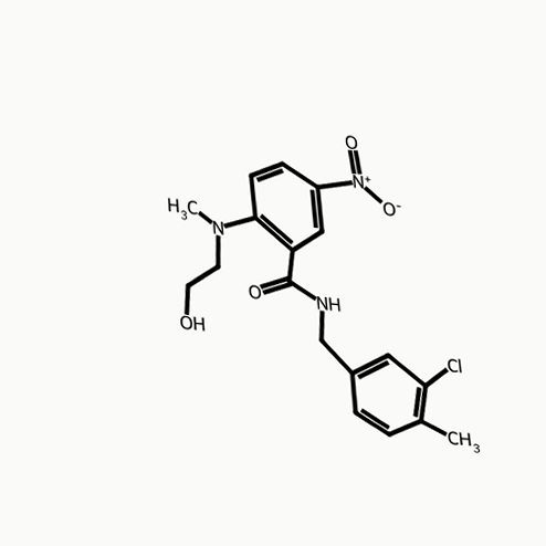 Cc1ccc(CNC(=O)c2cc([N+](=O)[O-])ccc2N(C)CCO)cc1Cl